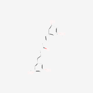 O=C(CC=Cc1cc(O)cc(O)c1)CC=Cc1cc(O)cc(O)c1